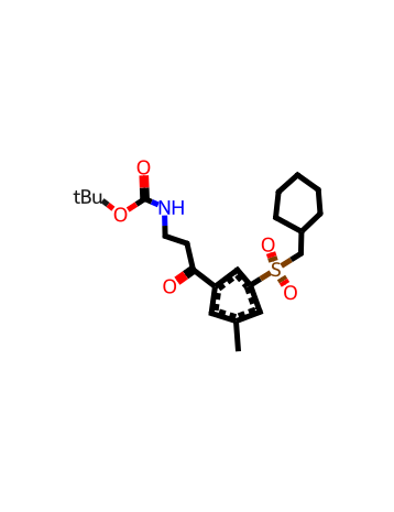 Cc1cc(C(=O)CCNC(=O)OC(C)(C)C)cc(S(=O)(=O)CC2CCCCC2)c1